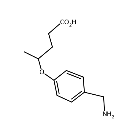 CC(CCC(=O)O)Oc1ccc(CN)cc1